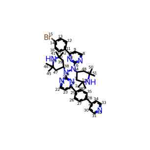 CC1(C)CC(N(c2nccc(-c3ccc(Br)cc3)n2)N(c2nccc(-c3ccc(-c4ccncc4)cc3)n2)C2CC(C)(C)NC(C)(C)C2)CC(C)(C)N1